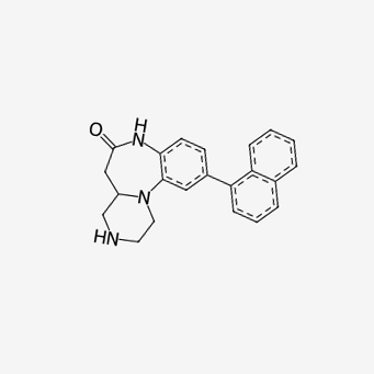 O=C1CC2CNCCN2c2cc(-c3cccc4ccccc34)ccc2N1